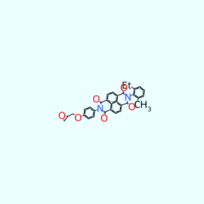 CCc1cccc(C)c1N1C(=O)c2ccc3c4c(ccc(c24)C1=O)C(=O)N(c1ccc(OCC2CO2)cc1)C3=O